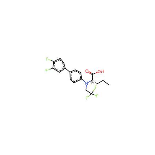 CCC[C@@H](C(=O)O)N(CC(F)(F)F)c1ccc(-c2ccc(F)c(F)c2)cc1